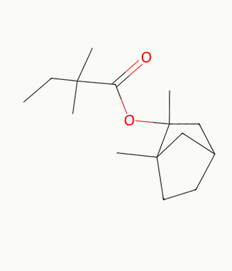 CCC(C)(C)C(=O)OC1(C)CC2CCC1(C)C2